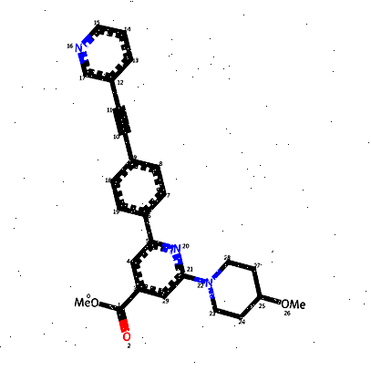 COC(=O)c1cc(-c2ccc(C#Cc3cccnc3)cc2)nc(N2CCC(OC)CC2)c1